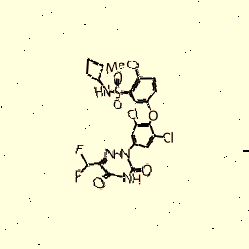 COc1ccc(Oc2c(Cl)cc(-n3nc(C(F)F)c(=O)[nH]c3=O)cc2Cl)cc1S(=O)(=O)NC1CCC1